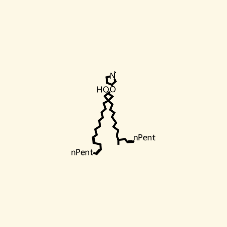 CCCCC/C=C\C/C=C\CCCCCCCCC1(CCCCCCCCC(C)C/C=C\CCCCC)CC(O)(OC2CCN(C)C2)C1